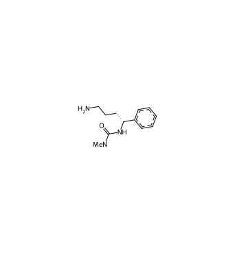 CNC(=O)N[C@H](CCCN)c1ccccc1